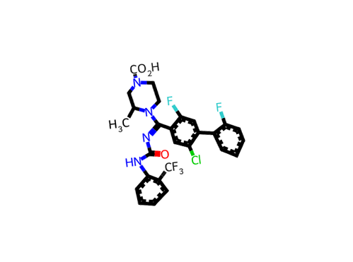 CC1CN(C(=O)O)CCN1C(=NC(=O)Nc1ccccc1C(F)(F)F)c1cc(Cl)c(-c2ccccc2F)cc1F